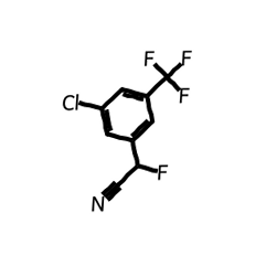 N#CC(F)c1cc(Cl)cc(C(F)(F)F)c1